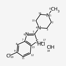 CN1CCN(c2nc3cc(Cl)ccc3s2)CC1.Cl.Cl